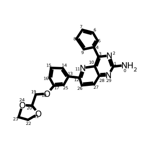 Nc1nc(-c2ccccc2)c2nc(-c3cccc(OCC4OCCO4)c3)ccc2n1